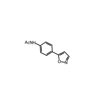 CC(=O)Nc1ccc(-c2ccno2)cc1